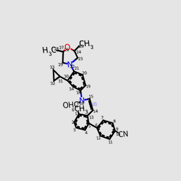 Cc1cccc(-c2ccc(C#N)cc2)c1/C=C\N(C=O)c1ccc(N2CC(C)OC(C)C2)c(C2CC2)c1